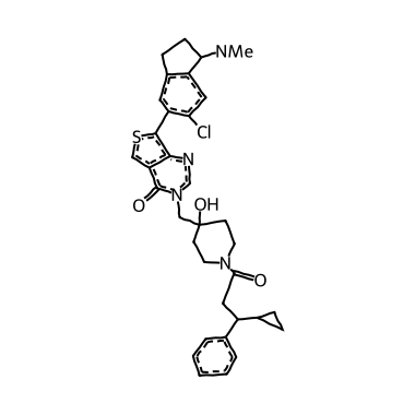 CNC1CCc2cc(-c3scc4c(=O)n(CC5(O)CCN(C(=O)CC(c6ccccc6)C6CC6)CC5)cnc34)c(Cl)cc21